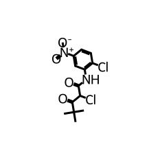 CC(C)(C)C(=O)C(Cl)C(=O)Nc1cc([N+](=O)[O-])ccc1Cl